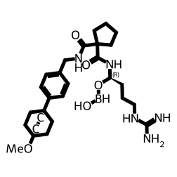 COC12CCC(c3ccc(CNC(=O)C4(C(=O)N[C@@H](CCCNC(=N)N)OBO)CCCC4)cc3)(CC1)CC2